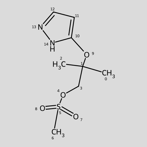 CC(C)(COS(C)(=O)=O)Oc1ccn[nH]1